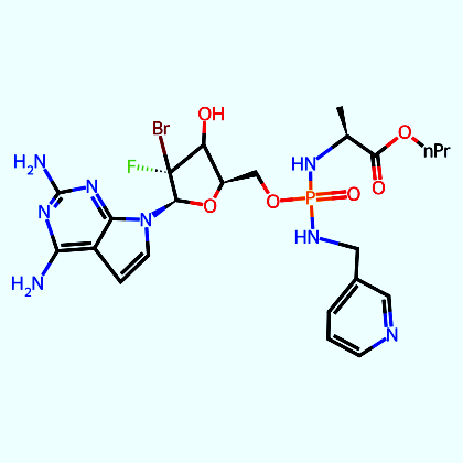 CCCOC(=O)[C@H](C)NP(=O)(NCc1cccnc1)OC[C@H]1O[C@@H](n2ccc3c(N)nc(N)nc32)[C@@](F)(Br)C1O